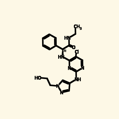 CCNC(=O)[C@@H](Nc1nc(Nc2cnn(CCO)c2)ncc1Cl)c1ccccc1